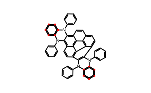 c1ccc(N(c2ccccc2)c2c(N(c3ccccc3)c3ccccc3)c3ccc4c(N(c5ccccc5)c5ccccc5)c(N(c5ccccc5)c5ccccc5)c5ccc6ccc2c2c6c5c4c32)cc1